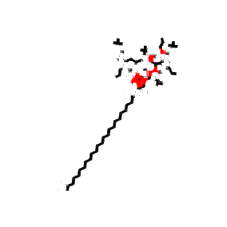 CCCCN(C(=O)OC(C)(C)C)C(C(CCCCCCNC(=O)CCCCCCCCCCCCCCCCCCCCCC(C)N)CN(CCCC(N(C)C(=O)OC(C)(C)C)N(CCC)C(=O)OC(C)(C)C)C(=O)OC(C)(C)C)(N(C)C(=O)OC(C)(C)C)N(CCC)C(=O)OC(C)(C)C